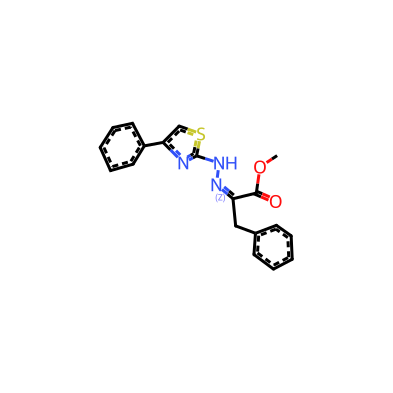 COC(=O)/C(Cc1ccccc1)=N\Nc1nc(-c2ccccc2)cs1